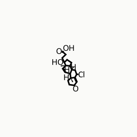 C[C@]12CCC(=O)C=C1C(Cl)C[C@@H]1[C@@H]2C=C[C@@]2(C)[C@H]1CC[C@]2(O)CCC(=O)O